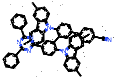 Cc1ccc2c(c1)c1cc(C)ccc1n2-c1ccc(-c2ccc(C#N)cc2)cc1-c1cc(-c2nc(-c3ccccc3)nc(-c3ccccc3)n2)ccc1-n1c2ccc(C)cc2c2cc(C)ccc21